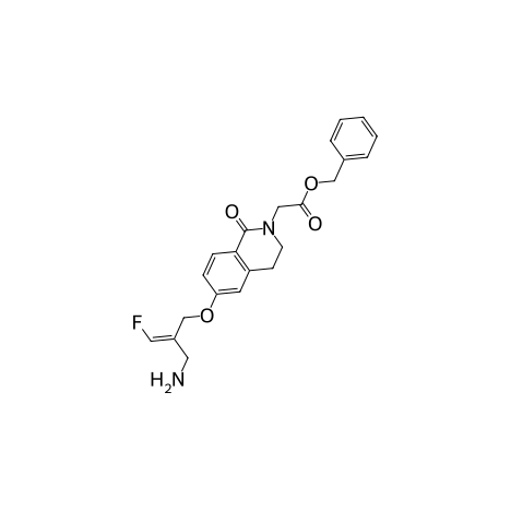 NC/C(=C/F)COc1ccc2c(c1)CCN(CC(=O)OCc1ccccc1)C2=O